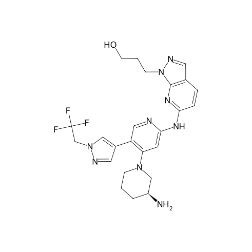 N[C@H]1CCCN(c2cc(Nc3ccc4cnn(CCCO)c4n3)ncc2-c2cnn(CC(F)(F)F)c2)C1